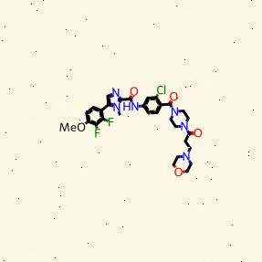 COc1ccc(-c2cnc(C(=O)Nc3ccc(C(=O)N4CCN(C(=O)CCN5CCOCC5)CC4)c(Cl)c3)n2C)c(F)c1F